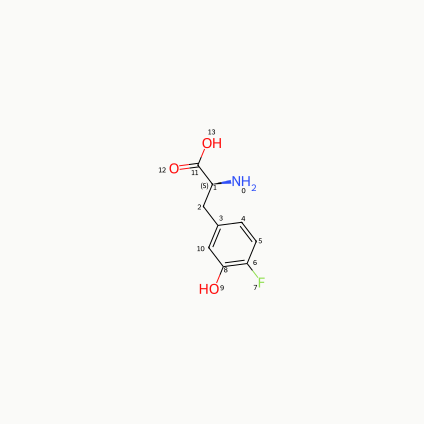 N[C@@H](Cc1ccc(F)c(O)c1)C(=O)O